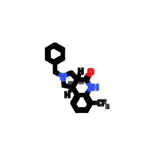 O=C1Nc2c(cccc2C(F)(F)F)[C@H]2CN(Cc3ccccc3)C[C@H]12